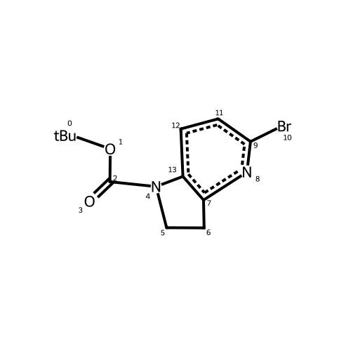 CC(C)(C)OC(=O)N1CCc2nc(Br)ccc21